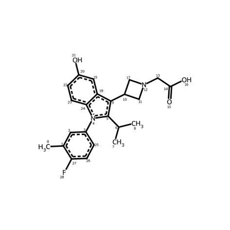 Cc1cc(-n2c(C(C)C)c(C3CN(CC(=O)O)C3)c3cc(O)ccc32)ccc1F